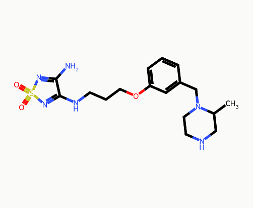 CC1CNCCN1Cc1cccc(OCCCNC2=NS(=O)(=O)N=C2N)c1